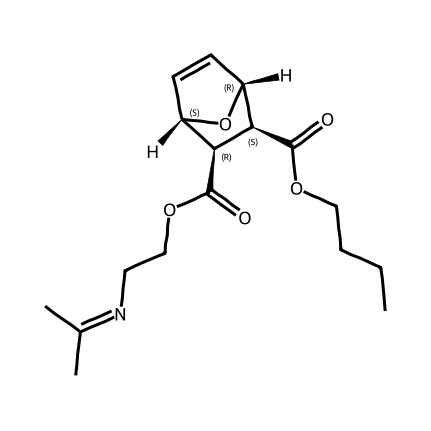 CCCCOC(=O)[C@H]1[C@@H](C(=O)OCCN=C(C)C)[C@@H]2C=C[C@H]1O2